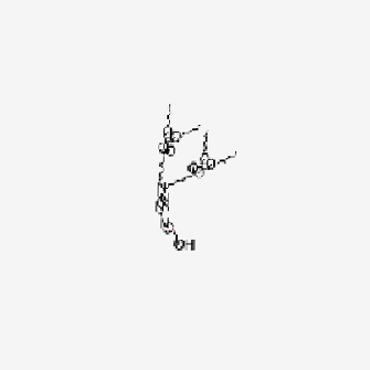 CCCCCCOCC(COCCCCCC)OC(=O)CCCCCCCN(CCCCCCCC(=O)OC(COCCCCCC)COCCCCCC)Cc1cn(CCCN2CCC(CCO)CC2)nn1